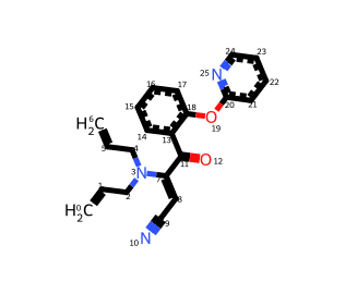 C=CCN(CC=C)C(=CC#N)C(=O)c1ccccc1Oc1ccccn1